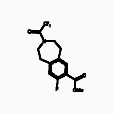 COC(=O)c1cc2c(cc1F)CCN(C(=O)C(F)(F)F)CC2